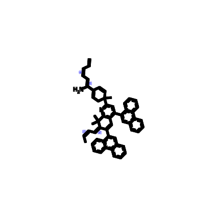 C=C/C=C\C=C(/N)C1=CCC(C)(c2cc(-c3cc4ccccc4c4ccccc34)c3c(n2)C(C)(C)/C(=C\C=C/C)C(c2cc4ccccc4c4ccccc24)=C3)C=C1